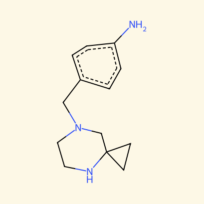 Nc1ccc(CN2CCNC3(CC3)C2)cc1